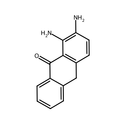 Nc1ccc2c(c1N)C(=O)c1ccccc1C2